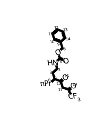 CCCC(CCNC(=O)OCc1ccccc1)C(=O)CC(=O)C(F)(F)F